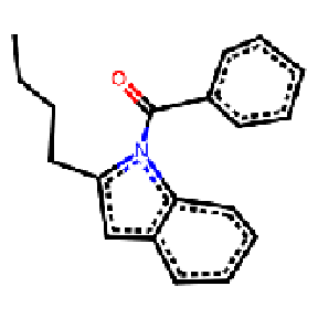 CCCCc1cc2ccccc2n1C(=O)c1ccccc1